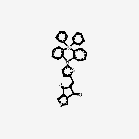 O=C1C(=Cc2ccc(N3c4ccccc4[Si](c4ccccc4)(c4ccccc4)c4ccccc43)s2)C(=O)c2cscc21